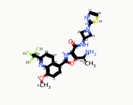 COc1ccc(-c2nc(C(=O)NC3CN(c4nccs4)C3)c([C@H](C)N)o2)c2ccc(C(F)(F)F)nc12